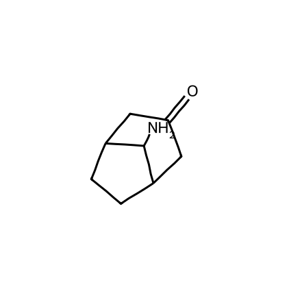 NC1C2CCC1CC(=O)C2